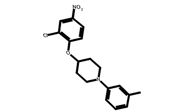 Cc1cccc(N2CCC(Oc3ccc([N+](=O)[O-])cc3Cl)CC2)c1